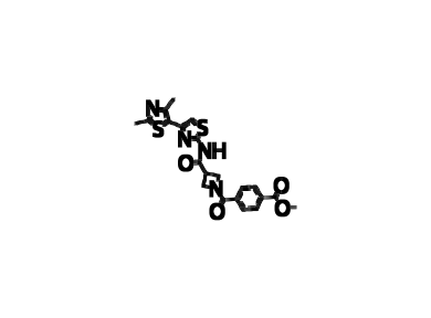 COC(=O)c1ccc(C(=O)N2CC(C(=O)Nc3nc(-c4sc(C)nc4C)cs3)C2)cc1